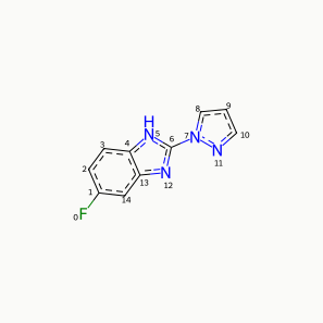 Fc1ccc2[nH]c(-n3cccn3)nc2c1